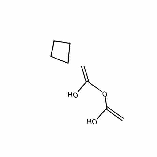 C1CCC1.C=C(O)OC(=C)O